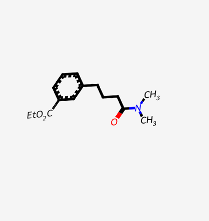 CCOC(=O)c1cccc(CCCC(=O)N(C)C)c1